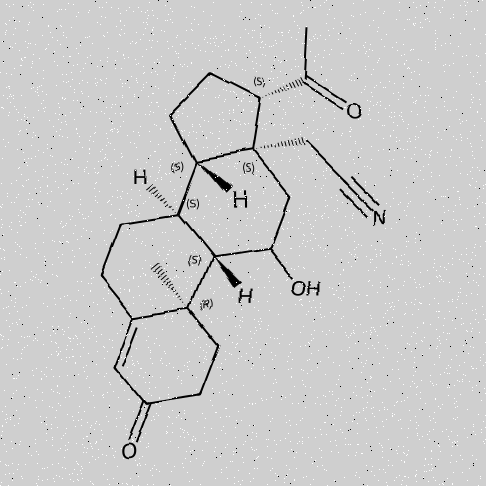 CC(=O)[C@H]1CC[C@H]2[C@@H]3CCC4=CC(=O)CC[C@]4(C)[C@H]3C(O)C[C@]12CC#N